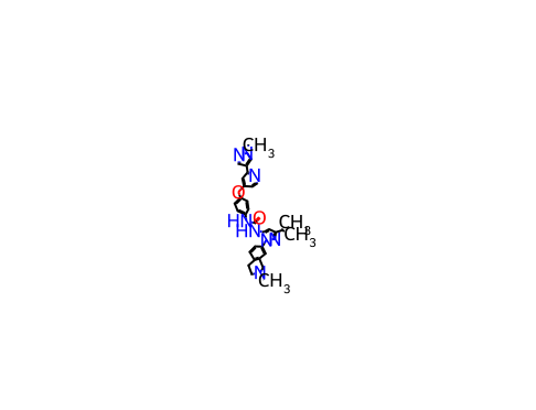 CC(C)c1cc(NC(=O)Nc2ccc(Oc3ccnc(-c4cnn(C)c4)c3)cc2)n(-c2ccc3c(c2)CN(C)CC3)n1